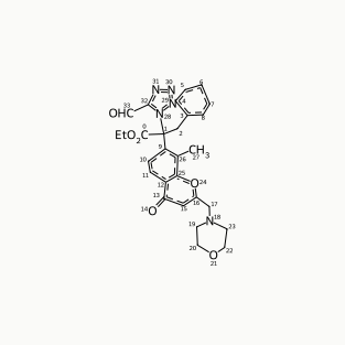 CCOC(=O)C(Cc1ccccc1)(c1ccc2c(=O)cc(CN3CCOCC3)oc2c1C)n1nnnc1C=O